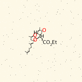 CCOC(=O)/C=C/C1=C[C@]2(C=C(C)C[C@@H](/C=C(\C)CCC=C(C)C)O2)O[C@@H]2C=C(C)C(=O)C[C@H]12